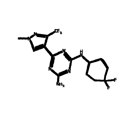 Cn1cc(-c2nc(N)nc(NC3CCC(F)(F)CC3)n2)c(C(F)(F)F)n1